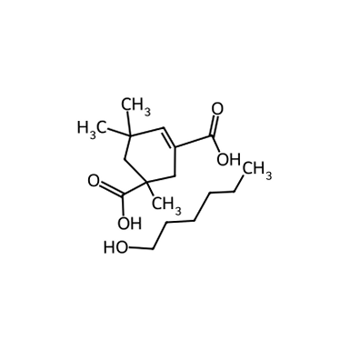 CC1(C)C=C(C(=O)O)CC(C)(C(=O)O)C1.CCCCCCO